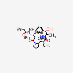 CC[C@H](C)[C@@H]([C@@H](CC(=O)N1CCCC1[C@H](OC)[C@@H](C)C(=O)NC(C)C(O)c1ccccc1)OC)N(C)C(=O)CC(C)C